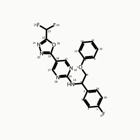 Fc1ccc(C(COc2ccccc2)Nc2ncc(-c3nnc(C(F)F)o3)cn2)cc1